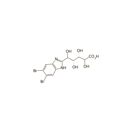 O=C(O)C(O)[C@@H](O)[C@H](O)C(O)c1nc2cc(Br)c(Br)cc2[nH]1